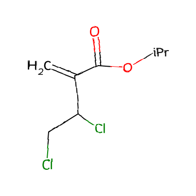 C=C(C(=O)OC(C)C)C(Cl)CCl